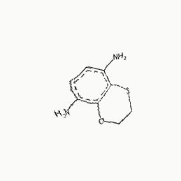 Nc1ccc(N)c2c1OCCS2